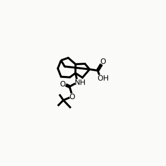 CC(C)(C)OC(=O)NC12CCCC3CC1CC(C(=O)O)(C3)C2